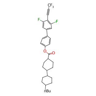 CCCCC1CCC(C2CCC(C(=O)Oc3ccc(-c4cc(F)c(C#CC(F)(F)F)c(F)c4)cc3)CC2)CC1